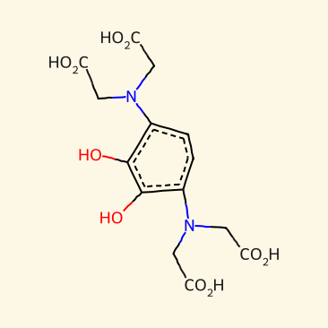 O=C(O)CN(CC(=O)O)c1ccc(N(CC(=O)O)CC(=O)O)c(O)c1O